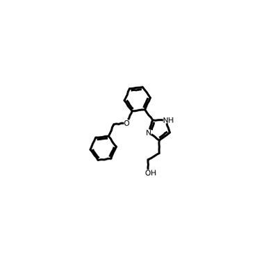 OCCc1c[nH]c(-c2ccccc2OCc2ccccc2)n1